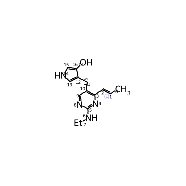 C/C=C/c1nc(NCC)ncc1Sc1c[nH]cc1O